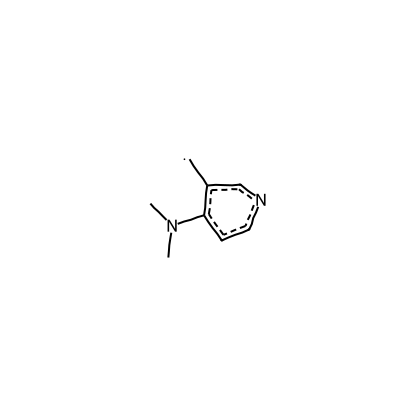 [CH2]c1cnccc1N(C)C